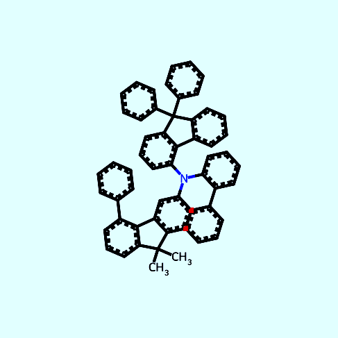 CC1(C)c2ccc(N(c3ccccc3-c3ccccc3)c3cccc4c3-c3ccccc3C4(c3ccccc3)c3ccccc3)cc2-c2c(-c3ccccc3)cccc21